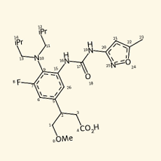 COCC(CC(=O)O)c1cc(F)c(N(CC(C)C)CC(C)C)c(NC(=O)Nc2cc(C)on2)c1